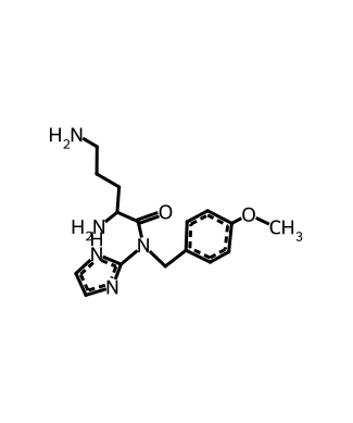 COc1ccc(CN(C(=O)C(N)CCCN)c2ncc[nH]2)cc1